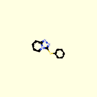 c1ccc(Sc2nnc3ccccn23)cc1